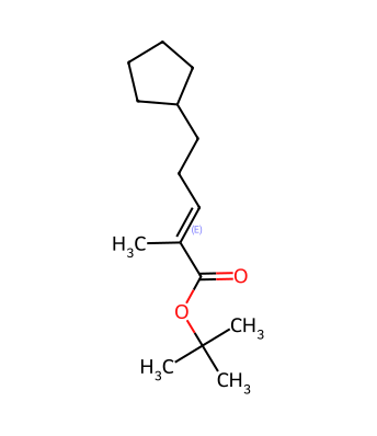 C/C(=C\CCC1CCCC1)C(=O)OC(C)(C)C